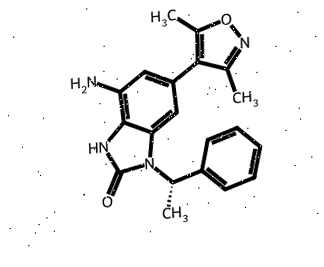 Cc1noc(C)c1-c1cc(N)c2[nH]c(=O)n([C@@H](C)c3ccccc3)c2c1